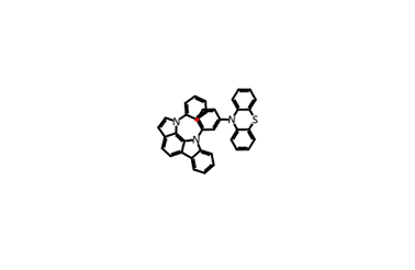 c1ccc(-n2ccc3ccc4c5ccccc5n(-c5cccc(N6c7ccccc7Sc7ccccc76)c5)c4c32)cc1